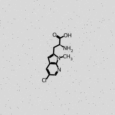 Cn1c(C[C@H](N)C(=O)O)cc2cc(Cl)cnc21